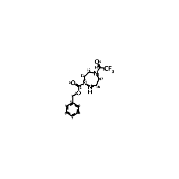 O=C(OCc1ccccc1)N1CCN(C(=O)C(F)(F)F)CCN1